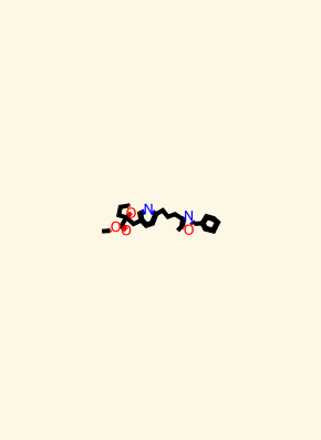 CCOC(=O)C1(Cc2ccc(CCCc3nc(-c4ccccc4)oc3C)nc2)CCCO1